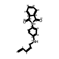 C=C/C=C\CNc1ccc(N2C(=O)c3ccccc3C2=O)cc1